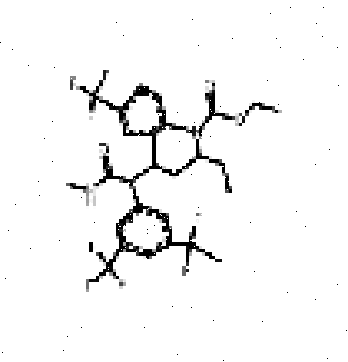 CCOC(=O)N1c2ccc(C(F)(F)F)cc2C(C(C(=O)NC)c2cc(C(F)(F)F)cc(C(F)(F)F)c2)CC1CC